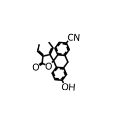 C/C=C1/C(=O)OC2(/C1=C/C)c1ccc(O)cc1Cc1cc(C#N)ccc12